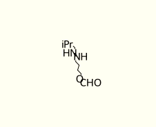 CC(C)CNNCCCCOC=O